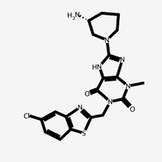 Cn1c(=O)n(Cc2nc3cc(Cl)ccc3s2)c(=O)c2[nH]c(N3CCC[C@@H](N)C3)nc21